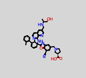 Cc1ccccc1C1=CC=CC(Nc2nccc3cc(CNC(C)CO)cnc23)(c2nc3cc(CN4CC[C@@H](C(=O)O)C4)cc(C#N)c3o2)C1C